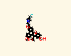 Oc1cccc(C2=C(C3CC3)c3cc(O)ccc3OC2c2ccc(OCCN3CC(CF)C3)cc2)c1